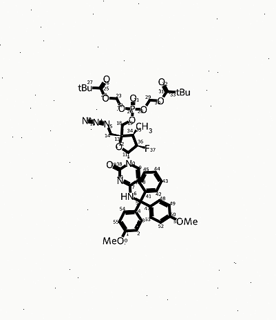 COc1ccc(C(Nc2ccn([C@@H]3O[C@](CN=[N+]=[N-])(COP(=O)(OCOC(=O)C(C)(C)C)OCOC(=O)C(C)(C)C)[C@@H](C)[C@H]3F)c(=O)n2)(c2ccccc2)c2ccc(OC)cc2)cc1